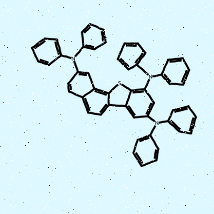 c1ccc(N(c2ccccc2)c2cc(N(c3ccccc3)c3ccccc3)c3sc4c5cc(N(c6ccccc6)c6ccccc6)ccc5ccc4c3c2)cc1